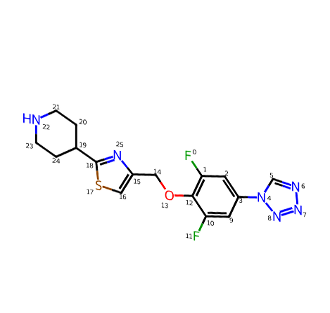 Fc1cc(-n2cnnn2)cc(F)c1OCc1csc(C2CCNCC2)n1